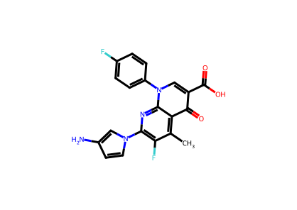 Cc1c(F)c(-n2ccc(N)c2)nc2c1c(=O)c(C(=O)O)cn2-c1ccc(F)cc1